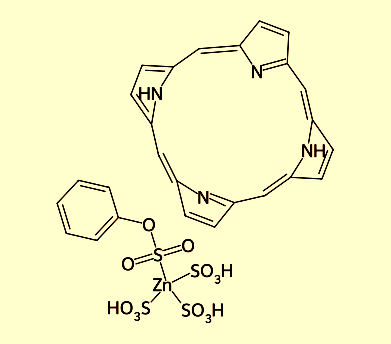 C1=Cc2cc3ccc(cc4nc(cc5ccc(cc1n2)[nH]5)C=C4)[nH]3.O=[S](=O)(O)[Zn]([S](=O)(=O)O)([S](=O)(=O)O)[S](=O)(=O)Oc1ccccc1